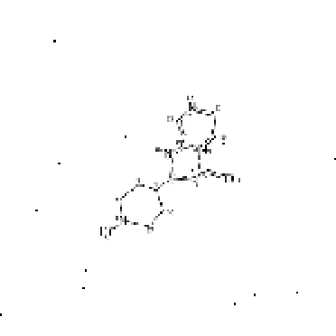 CN1CCC(c2cc(=O)n3ccncc3n2)CC1